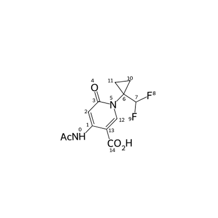 CC(=O)Nc1cc(=O)n(C2(C(F)F)CC2)cc1C(=O)O